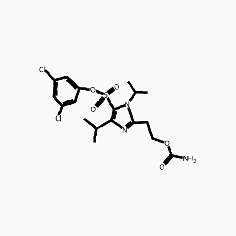 CC(C)c1nc(CCOC(N)=O)n(C(C)C)c1S(=O)(=O)Oc1cc(Cl)cc(Cl)c1